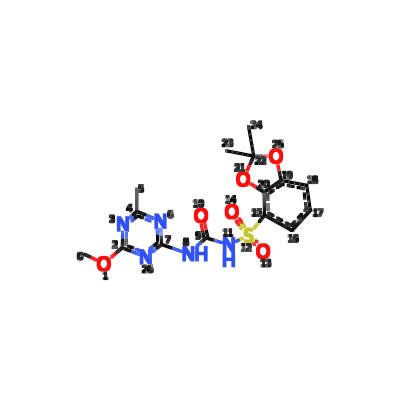 COc1nc(C)nc(NC(=O)NS(=O)(=O)c2cccc3c2OC(C)(C)O3)n1